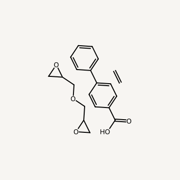 C(OCC1CO1)C1CO1.C=C.O=C(O)c1ccc(-c2ccccc2)cc1